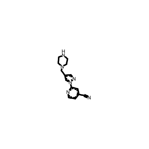 N#Cc1ccnc(-n2cc(CN3CCNCC3)cn2)c1